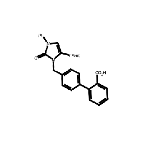 CCCCCc1cn(C(C)C)c(=O)n1Cc1ccc(-c2ccccc2C(=O)O)cc1